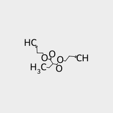 C#CCCOC(=O)C(CC)C(=O)OCCC#C